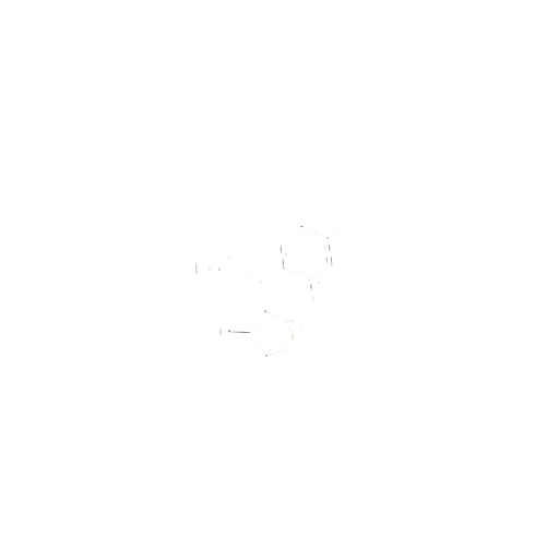 CCc1csc(Sc2cc(F)ccc2CC(=O)O)c1